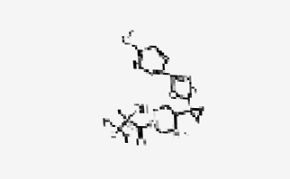 COc1ccc(-c2nnc(C3(C4CCN(C(=O)[C@@](C)(O)C(F)(F)F)C[C@H]4C)CC3)o2)cn1